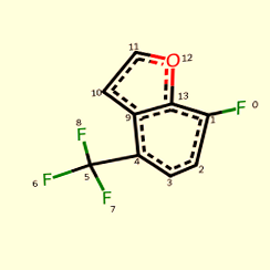 Fc1ccc(C(F)(F)F)c2ccoc12